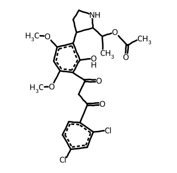 COc1cc(OC)c(C2CCNC2C(C)OC(C)=O)c(O)c1C(=O)CC(=O)c1ccc(Cl)cc1Cl